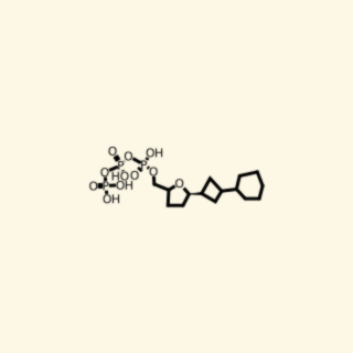 O=P(O)(O)OP(=O)(O)OP(=O)(O)OCC1CC[C@H](C2CC(C3CCCCC3)C2)O1